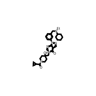 CCN(Cc1cccc(-n2ncc3c(=O)n(CC4(O)CCN(C(=O)C5CC5)CC4)cnc32)c1)C1CCCCC1